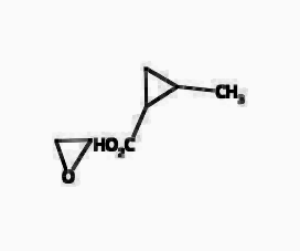 C1CO1.CC1CC1C(=O)O